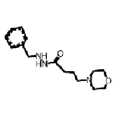 O=C(CCCN1CCOCC1)NNCc1ccccc1